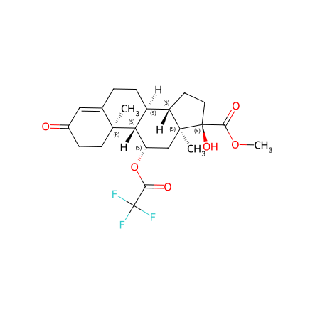 COC(=O)[C@@]1(O)CC[C@H]2[C@@H]3CCC4=CC(=O)CC[C@]4(C)[C@H]3[C@@H](OC(=O)C(F)(F)F)C[C@@]21C